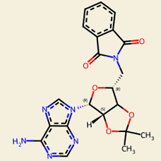 CC1(C)OC2[C@@H](CN3C(=O)c4ccccc4C3=O)O[C@@H](n3cnc4c(N)ncnc43)[C@H]2O1